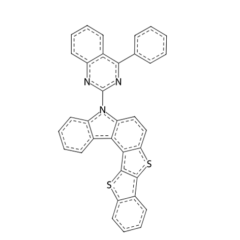 c1ccc(-c2nc(-n3c4ccccc4c4c5c(ccc43)sc3c4ccccc4sc35)nc3ccccc23)cc1